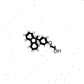 CC1(c2ccc(OCCO)cc2)c2ccccc2-c2ccccc21